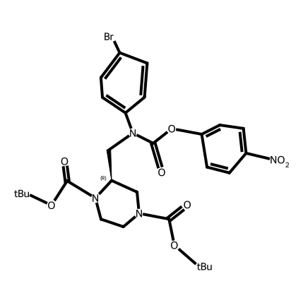 CC(C)(C)OC(=O)N1CCN(C(=O)OC(C)(C)C)[C@@H](CN(C(=O)Oc2ccc([N+](=O)[O-])cc2)c2ccc(Br)cc2)C1